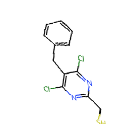 SCc1nc(Cl)c(Cc2ccccc2)c(Cl)n1